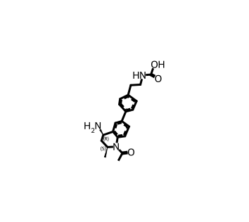 CC(=O)N1c2ccc(-c3ccc(CCNC(=O)O)cc3)cc2[C@H](N)C[C@@H]1C